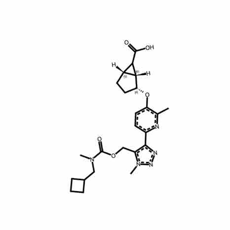 Cc1nc(-c2nnn(C)c2COC(=O)N(C)CC2CCC2)ccc1O[C@@H]1CC[C@@H]2C(C(=O)O)[C@@H]21